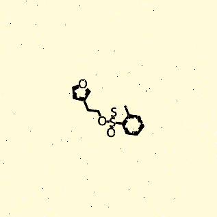 Cc1ccccc1S(=O)(=S)OCCc1ccoc1